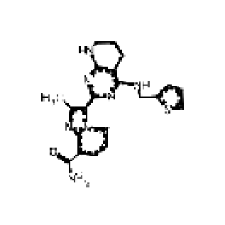 Cc1nc2c(C(N)=O)cccn2c1-c1nc2c(c(NCc3cccs3)n1)CCCN2